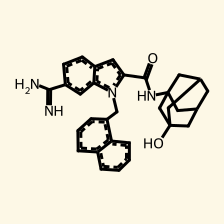 N=C(N)c1ccc2cc(C(=O)NC34CC5CC(CC(O)(C5)C3)C4)n(Cc3cccc4ccccc34)c2c1